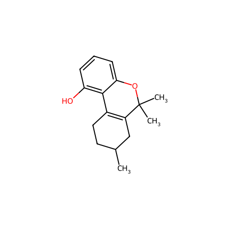 CC1CCC2=C(C1)C(C)(C)Oc1cccc(O)c12